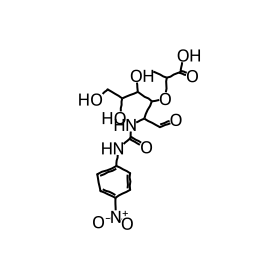 CC(OC(C(C=O)NC(=O)Nc1ccc([N+](=O)[O-])cc1)C(O)C(O)CO)C(=O)O